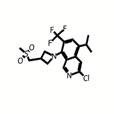 CC(C)c1cc(C(F)(F)F)c(N2CC(CS(C)(=O)=O)C2)c2cnc(Cl)cc12